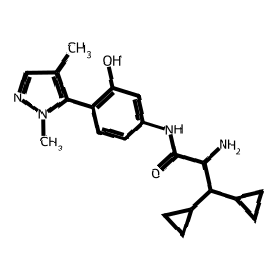 Cc1cnn(C)c1-c1ccc(NC(=O)C(N)C(C2CC2)C2CC2)cc1O